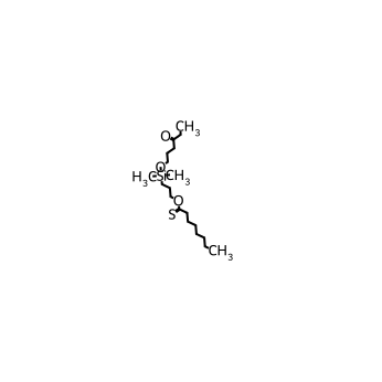 CCCCCCCC(=S)OCCC[Si](C)(C)OCCCC(=O)CC